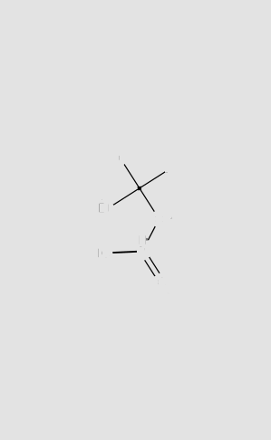 CCC(CC)(CC)O[PH](=O)O